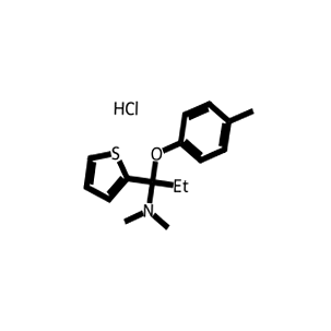 CCC(Oc1ccc(C)cc1)(c1cccs1)N(C)C.Cl